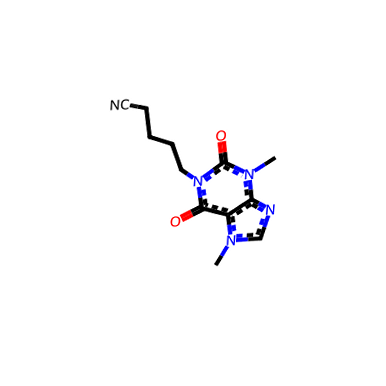 Cn1cnc2c1c(=O)n(CCCCC#N)c(=O)n2C